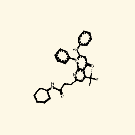 O=C(CCc1cc(C(F)(F)F)c2c(=O)cc(Nc3ccccc3)n(-c3ccccc3)c2n1)NC1CCCCC1